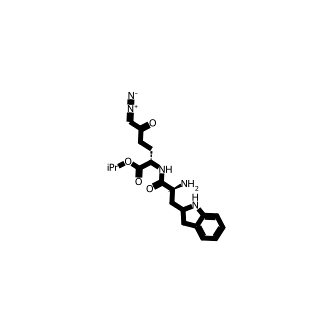 CC(C)OC(=O)[C@H](CCC(=O)C=[N+]=[N-])NC(=O)[C@@H](N)CC1Cc2ccccc2N1